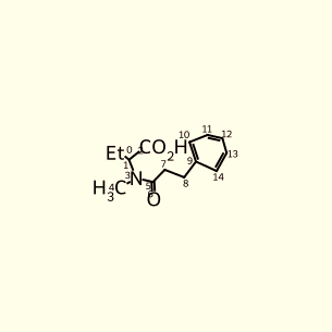 CCC(C(=O)O)N(C)C(=O)CCc1ccccc1